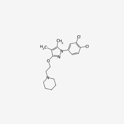 Cc1c(OCCN2CCCCC2)nn(-c2ccc(Cl)c(Cl)c2)c1C